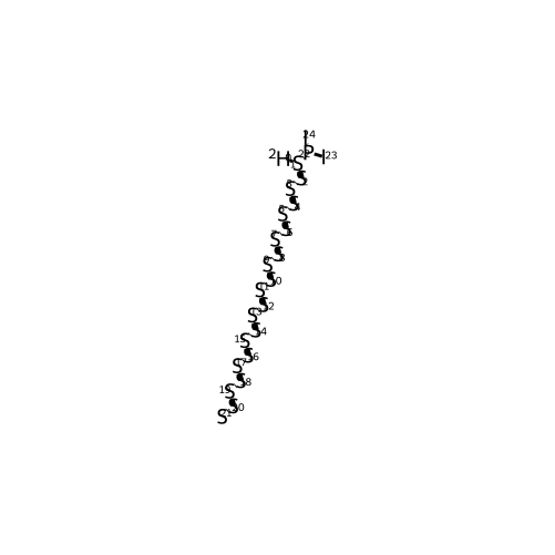 [2H]S(=S=S=S=S=S=S=S=S=S=S=S=S=S=S=S=S=S=S=S=S)P(I)I